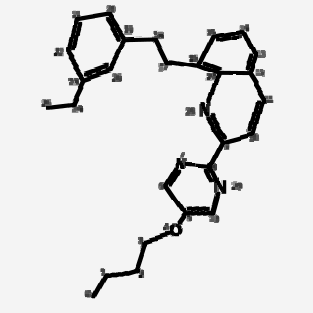 CCCCOc1cnc(-c2ccc3cccc(CCc4cccc(CC)c4)c3n2)nc1